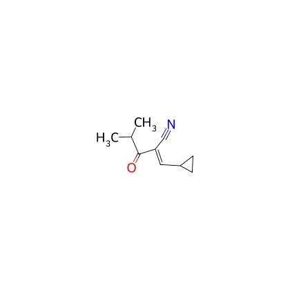 CC(C)C(=O)/C(C#N)=C/C1CC1